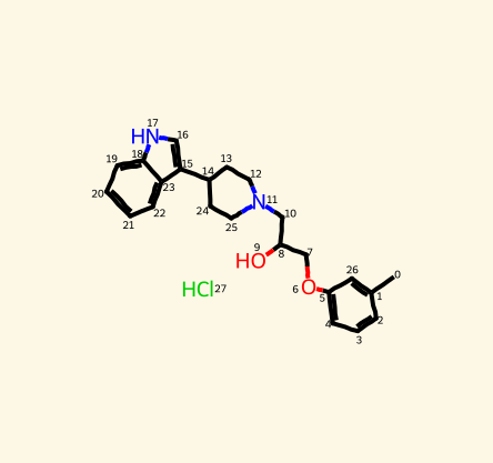 Cc1cccc(OCC(O)CN2CCC(c3c[nH]c4ccccc34)CC2)c1.Cl